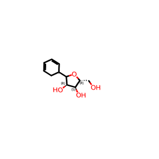 OC[C@H]1OC([C]2C=CC=CC2)[C@H](O)[C@@H]1O